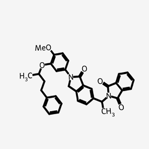 COc1ccc(N2Cc3ccc(C(C)N4C(=O)c5ccccc5C4=O)cc3C2=O)cc1OC(C)CCc1ccccc1